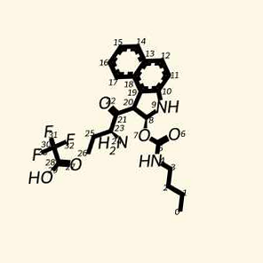 CCCCNC(=O)O[C@@H]1Nc2ccc3ccccc3c2C1C(=O)[C@@H](N)CC.O=C(O)C(F)(F)F